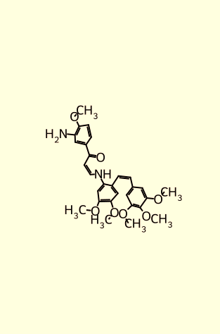 COc1ccc(C(=O)/C=C\Nc2cc(OC)c(OC)cc2/C=C\c2cc(OC)c(OC)c(OC)c2)cc1N